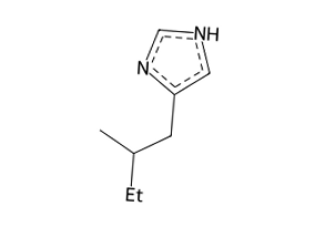 CCC(C)Cc1c[nH]cn1